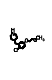 COCCOc1ccc(Cl)c(CC2CCNCC2)c1